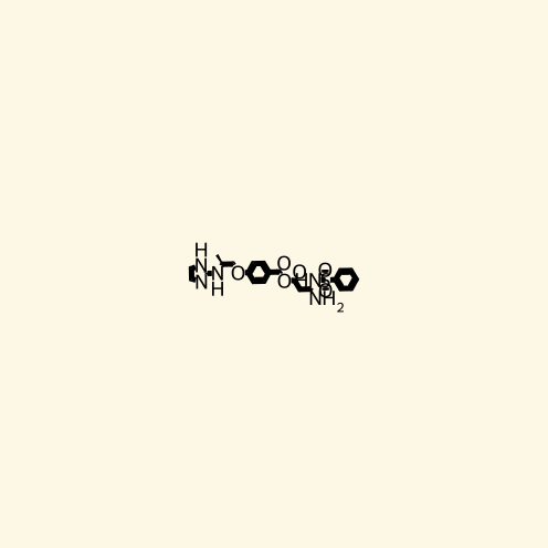 C[C@@H](COc1ccc(C(=O)OC(=O)C[C@@H](N)NS(=O)(=O)c2ccccc2)cc1)NC1=NCCN1